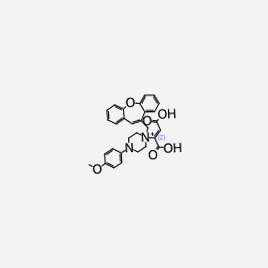 COc1ccc(N2CC[N+](CC3=Cc4ccccc4Oc4ccccc43)(/C(=C\C(=O)O)C(=O)O)CC2)cc1